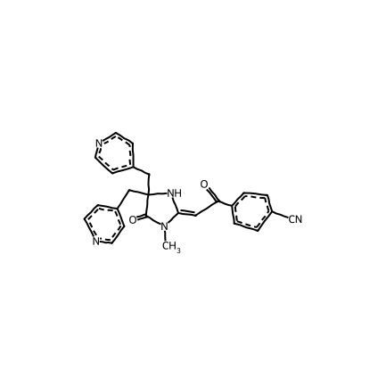 CN1C(=O)C(Cc2ccncc2)(Cc2ccncc2)NC1=CC(=O)c1ccc(C#N)cc1